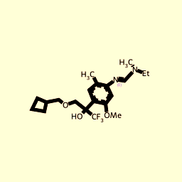 CCN(C)/C=N/c1cc(OC)c(C(O)(COCC2CCC2)C(F)(F)F)cc1C